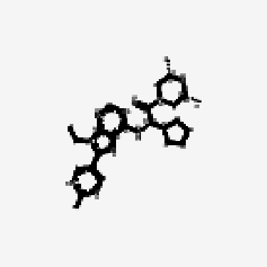 CCn1c(-c2cnc(C)nc2)nc2c(N[C@@H](C(=O)N3C[C@@H](C)O[C@@H](C)C3)C3CCCC3)ncnc21